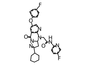 O=C(CN1c2ncc(Oc3ccc(F)cc3)cc2C(=O)N2N=C(C3CCCCC3)CC21)Nc1ccc(F)cn1